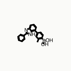 Cc1cc(-c2cccc3nc(-c4ccccc4)[nH]c23)ccc1B(O)O